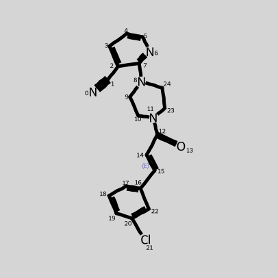 N#Cc1cccnc1N1CCN(C(=O)/C=C/c2cccc(Cl)c2)CC1